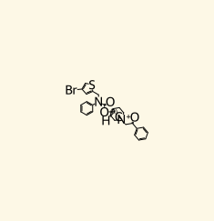 O=C(C[N+]12CCC(CC1)[C@@H](OC(=O)N(Cc1cc(Br)cs1)c1ccccc1)C2)c1ccccc1